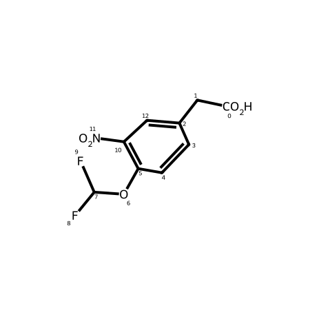 O=C(O)Cc1ccc(OC(F)F)c([N+](=O)[O-])c1